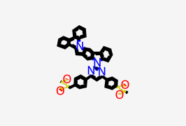 CS(=O)(=O)Cc1ccc(-c2cc(-c3ccc(S(C)(=O)=O)cc3)nc(-n3c4ccccc4c4cc5c(cc43)cc3c4ccccc4c4ccccc4n53)n2)cc1